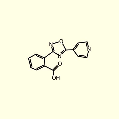 O=C(O)c1ccccc1-c1noc(-c2ccncc2)n1